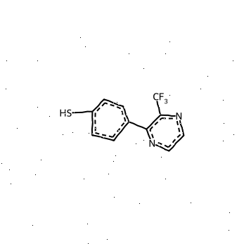 FC(F)(F)c1nccnc1-c1ccc(S)cc1